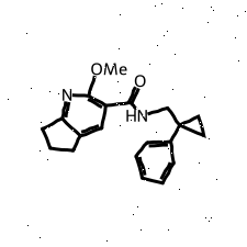 COc1nc2c(cc1C(=O)NCC1(c3ccccc3)CC1)CCC2